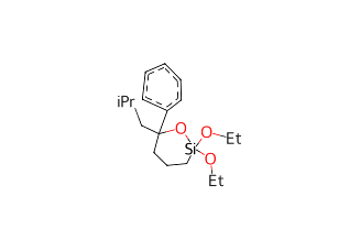 CCO[Si]1(OCC)CCCC(CC(C)C)(c2ccccc2)O1